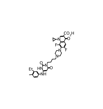 CCc1cc(Nc2cc(=O)n(CCCCN3CCN(c4c(F)cc5c(=O)c(C(=O)O)cn(C6CC6)c5c4F)CC3)c(=O)[nH]2)ccc1C